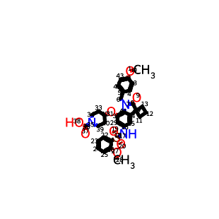 COc1ccc(CN2C(=O)C3(CCC3)c3cc(NS(=O)(=O)c4ccccc4OC)cc(OC4CCN(C(=O)O)CC4)c32)cc1